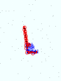 COCCOCCOCCOCCOCCOCCOCCOCCNC(=O)[C@H](CCC(=O)NCCCN1N=C(c2ccc(NC(=O)N3Cc4ccncc4C3)cc2)C(C)CC1=O)NC(=O)OC(C)(C)C